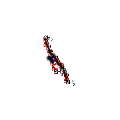 C=CC(=O)OCCOCCOCCN(/N=C/c1cc(OC(=O)C2CCC(C(=O)Oc3ccc(CCOC(=O)CCC(=O)OCCOC(=O)C=C)cc3)CC2)ccc1OC(=O)C1CCC(C(=O)Oc2ccc(CCOC(=O)CCC(=O)OCCOC(=O)C=C)cc2)CC1)c1nc2ccccc2s1